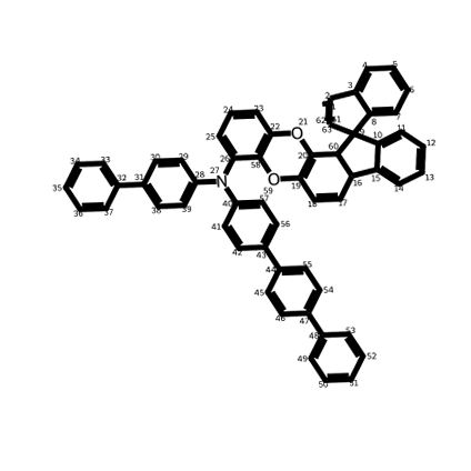 C1=CC2c3ccccc3C3(c4ccccc4C4C=CC5=C(Oc6cccc(N(c7ccc(-c8ccccc8)cc7)c7ccc(-c8ccc(-c9ccccc9)cc8)cc7)c6O5)C43)C2C=C1